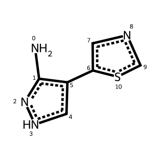 Nc1n[nH]cc1-c1cncs1